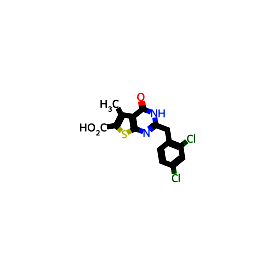 Cc1c(C(=O)O)sc2nc(Cc3ccc(Cl)cc3Cl)[nH]c(=O)c12